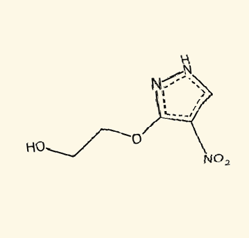 O=[N+]([O-])c1c[nH]nc1OCCO